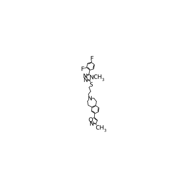 Cc1cc(-c2ccc3c(c2)CCN(CCCSc2nnc(-c4ccc(F)cc4F)n2C)CC3)on1